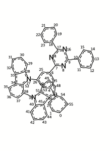 c1ccc(-c2cc(-c3nc(-c4ccccc4)nc(-c4ccccc4)n3)cc(-n3c4ccccc4c4cccc(-n5c6ccccc6c6ccccc65)c43)c2)cc1